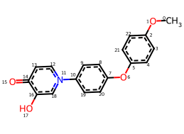 COc1ccc(Oc2ccc(-n3ccc(=O)c(O)c3)cc2)cc1